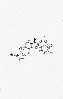 CN1CC[C@@H](Oc2cc(NS(=O)(=O)c3ccc(Cl)c(Cl)c3Cl)ccc2Cl)C1